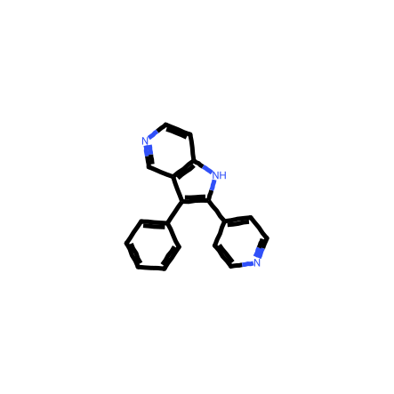 c1ccc(-c2c(-c3ccncc3)[nH]c3ccncc23)cc1